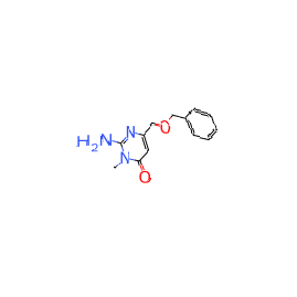 Cn1c(N)nc(COCc2ccccc2)cc1=O